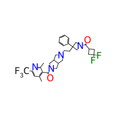 Cc1cc(C(F)(F)F)nc(C)c1C(=O)N1CC2CN(CCC3(c4ccccc4)CN(C(=O)C4CC(F)(F)C4)C3)CC2C1